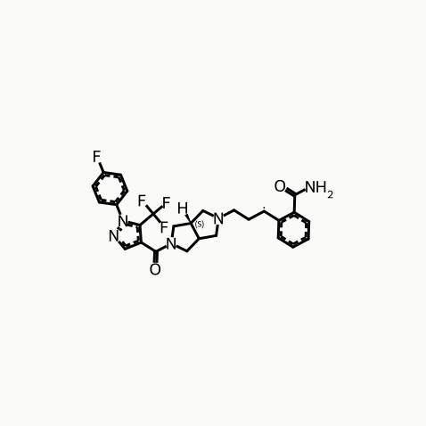 NC(=O)c1ccccc1[CH]CCN1CC2CN(C(=O)c3cnn(-c4ccc(F)cc4)c3C(F)(F)F)C[C@@H]2C1